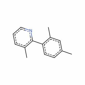 Cc1ccc(-c2ncccc2C)c(C)c1